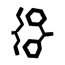 C=CCNCC=C.O=C(c1ccccc1)c1ccccc1